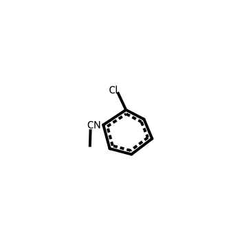 CC#N.Clc1ccccc1